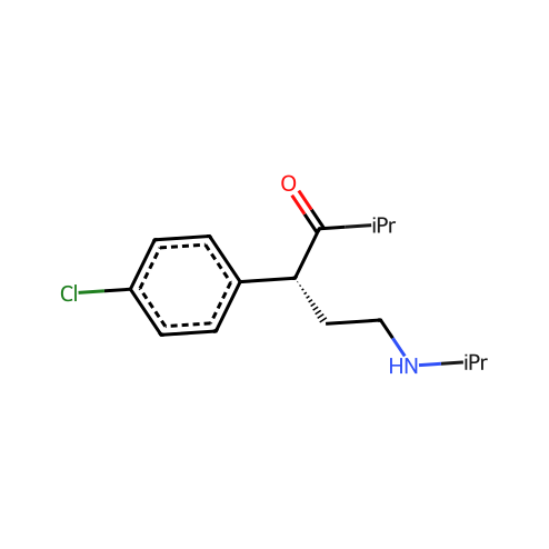 CC(C)NCC[C@@H](C(=O)C(C)C)c1ccc(Cl)cc1